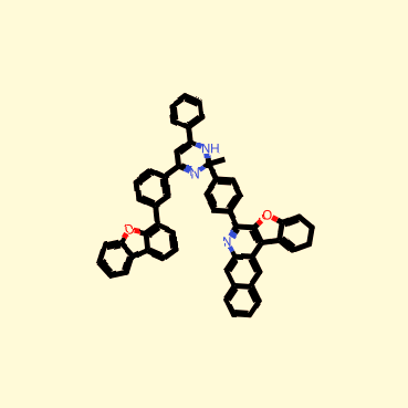 CC1(c2ccc(-c3nc4cc5ccccc5cc4c4c5c(oc34)=CCCC=5)cc2)N=C(c2cccc(-c3cccc4c3oc3ccccc34)c2)C=C(c2ccccc2)N1